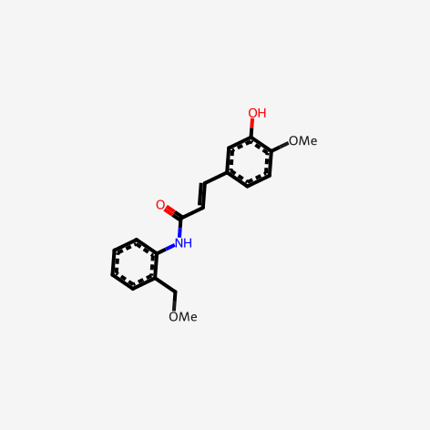 COCc1ccccc1NC(=O)C=Cc1ccc(OC)c(O)c1